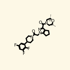 C[C@@H]1CN(C(=O)c2nn(CC(=O)N3CCC(c4cc(F)cc(F)c4F)CC3)c3c2CCC3)C[C@H](C)O1